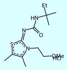 CCC(C)(C)NC(=O)N=c1sc(C)c(C)n1CCOC.Cl